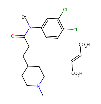 CCN(C(=O)CCC1CCN(C)CC1)c1ccc(Cl)c(Cl)c1.O=C(O)/C=C/C(=O)O